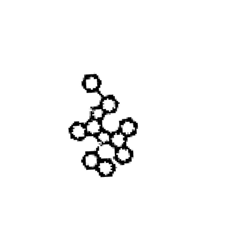 c1ccc(-c2cccc3c2sc2c4ccccc4c4c(c32)c2c3ccccc3c3ccccc3c2n4-c2cccc3ccccc23)cc1